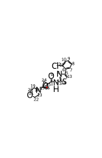 O=C(Nc1nc(-c2ccccc2Cl)cs1)C12CC(N3CCOCC3)(C1)C2